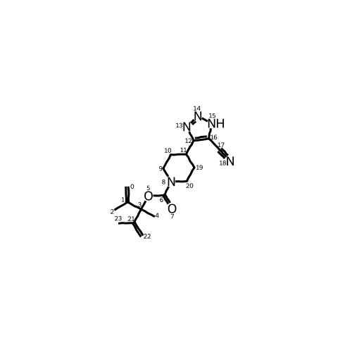 C=C(C)C(C)(OC(=O)N1CCC(c2nn[nH]c2C#N)CC1)C(=C)C